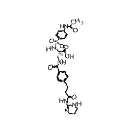 CC(=O)Nc1ccc(S(=O)(=O)N[C@@H](CNC(=O)c2ccc(CCC(=O)NC3=NCCCN3)cc2)C(=O)O)cc1